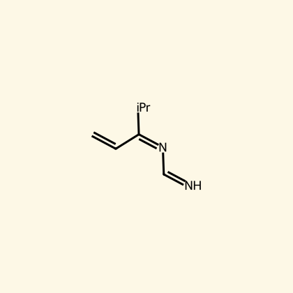 C=C/C(=N\C=N)C(C)C